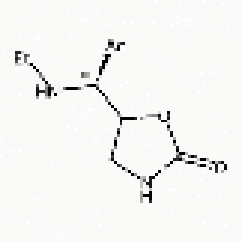 CCN[C@@H](C(C)=O)C1CNC(=O)O1